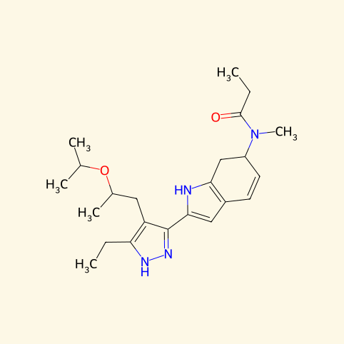 CCC(=O)N(C)C1C=Cc2cc(-c3n[nH]c(CC)c3CC(C)OC(C)C)[nH]c2C1